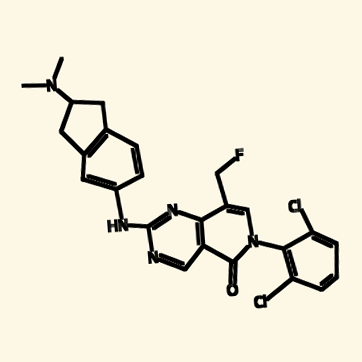 CN(C)C1Cc2ccc(Nc3ncc4c(=O)n(-c5c(Cl)cccc5Cl)cc(CF)c4n3)cc2C1